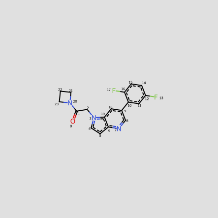 O=C(Cn1ccc2ncc(-c3cc(F)ccc3F)cc21)N1CCC1